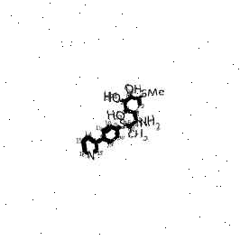 CSC1C[C@H]([C@H](N)[C@H](C)Sc2ccc(-c3cccnc3)cc2)C(O)C(O)[C@H]1O